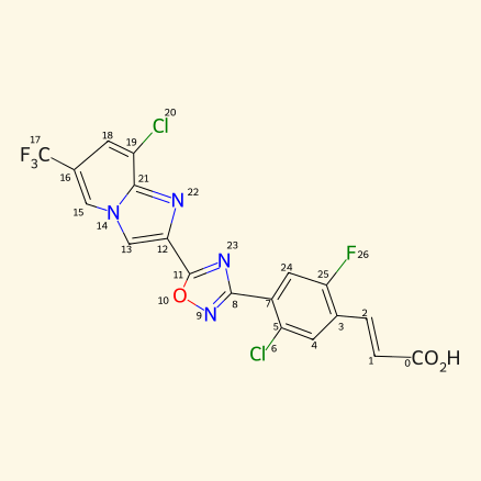 O=C(O)C=Cc1cc(Cl)c(-c2noc(-c3cn4cc(C(F)(F)F)cc(Cl)c4n3)n2)cc1F